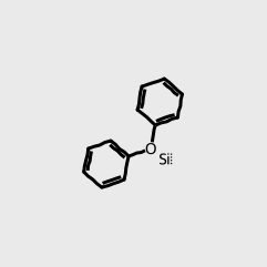 [Si].c1ccc(Oc2ccccc2)cc1